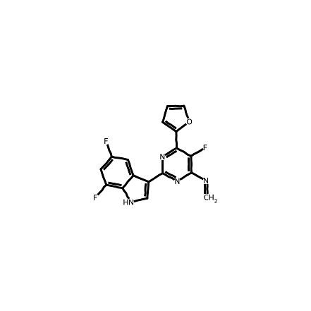 C=Nc1nc(-c2c[nH]c3c(F)cc(F)cc23)nc(-c2ccco2)c1F